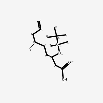 C=CC[C@@H](C)CC[C@H](CC(=O)O)O[Si](C)(C)C(C)(C)C